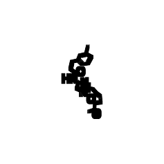 CC(=O)c1ccc(Cn2ncc(NC(=O)/C=C\c3cccc(C)c3)n2)o1